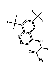 C[C@H](Nc1cnnc2c(C(F)(F)F)cc(C(F)(F)F)cc12)C(N)=O